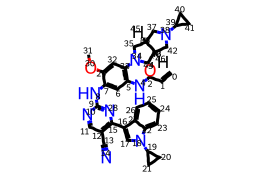 C=CC(=O)Nc1cc(Nc2ncc(C#N)c(-c3cn(C4CC4)c4ccccc34)n2)c(OC)cc1N1C[C@@H]2CN(C3CC3)C[C@@H]2C1